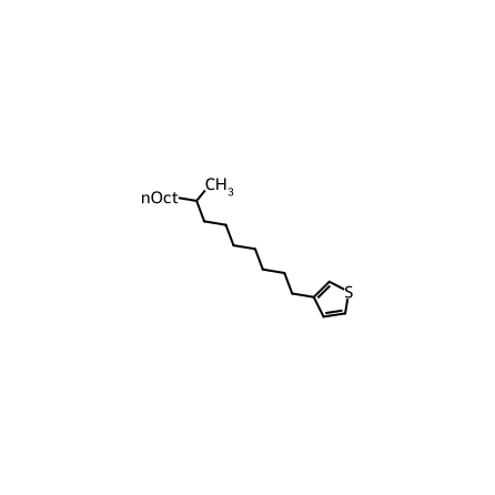 CCCCCCCCC(C)CCCCCCCc1ccsc1